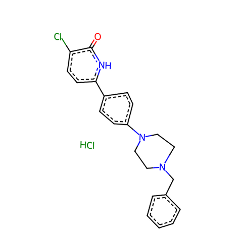 Cl.O=c1[nH]c(-c2ccc(N3CCN(Cc4ccccc4)CC3)cc2)ccc1Cl